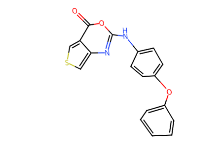 O=c1oc(Nc2ccc(Oc3ccccc3)cc2)nc2cscc12